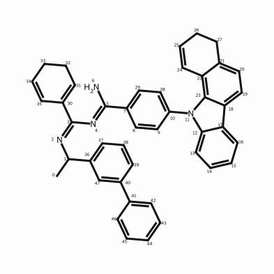 CC(/N=C(\N=C(/N)c1ccc(-n2c3ccccc3c3ccc4c(c32)C=CCC4)cc1)C1=CCCC=C1)c1cccc(-c2ccccc2)c1